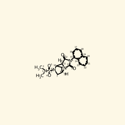 CN(C)S(=O)(=O)N1C[C@H]2CC1[C@H]1C(=O)N(c3cccc4ccccc34)C(=O)N21